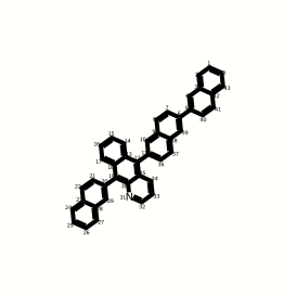 c1ccc2cc(-c3ccc4cc(-c5c6ccccc6c(-c6ccc7ccccc7c6)c6ncccc56)ccc4c3)ccc2c1